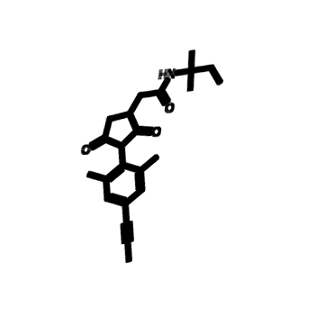 CC#Cc1cc(C)c(C2C(=O)CC(CC(=O)NC(C)(C)CC)C2=O)c(C)c1